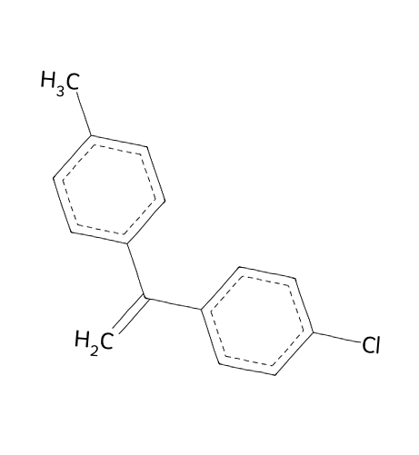 C=C(c1ccc(C)cc1)c1ccc(Cl)cc1